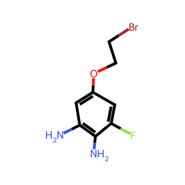 Nc1cc(OCCBr)cc(F)c1N